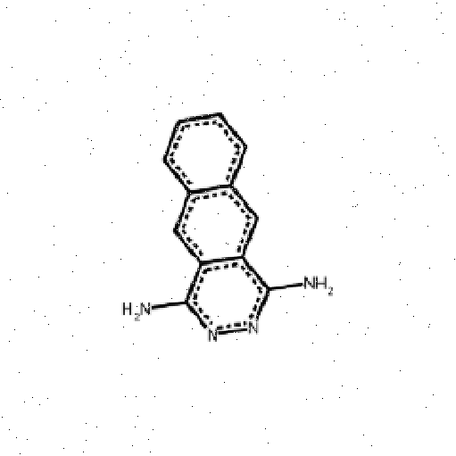 Nc1nnc(N)c2cc3ccccc3cc12